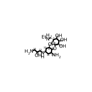 CCNC[C@H]1O[C@H](OC2[C@H](O)C[C@H](NCC(O)CN)C[C@@H]2N)[C@H](O)[C@@H](O)[C@@H]1O